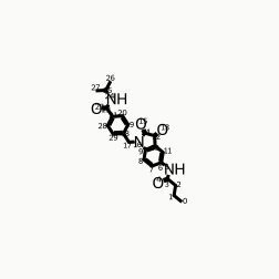 CCCC(=O)Nc1ccc2c(c1)C(=O)C(=O)N2Cc1ccc(C(=O)NC(C)C)cc1